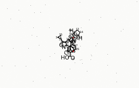 O=C(O)c1ccc(-c2csc(N3[C@@H]4CC[C@H]3CC(OCc3c(-c5c(Cl)cccc5Cl)noc3C3CC3)C4)n2)cc1